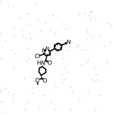 COC(=O)[C@H]1CC[C@H](NC(=O)c2cc(-c3ccc(C#N)cc3)nnc2Cl)CC1